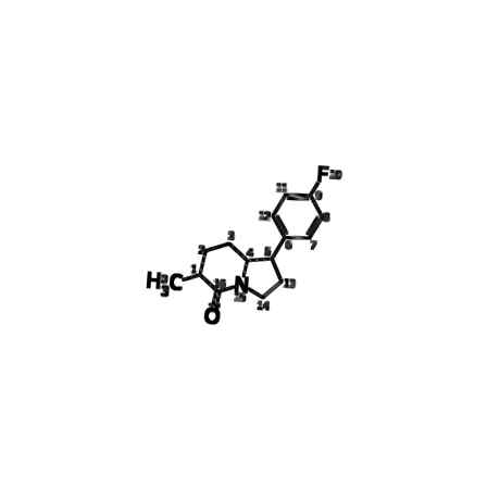 CC1CCC2C(c3ccc(F)cc3)CCN2C1=O